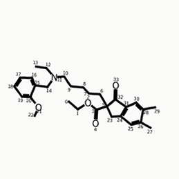 CCOC(=O)C1(CCCCCN(CC)Cc2ccccc2OC)Cc2cc(C)c(C)cc2C1=O